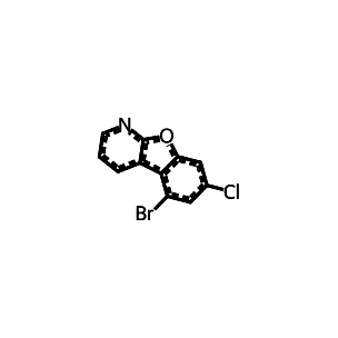 Clc1cc(Br)c2c(c1)oc1ncccc12